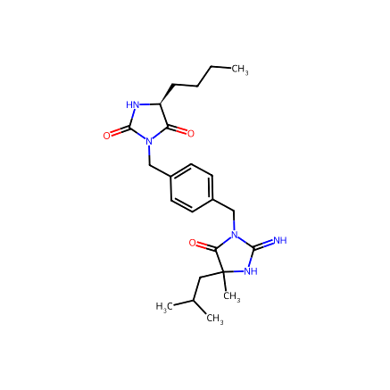 CCCC[C@@H]1NC(=O)N(Cc2ccc(CN3C(=N)NC(C)(CC(C)C)C3=O)cc2)C1=O